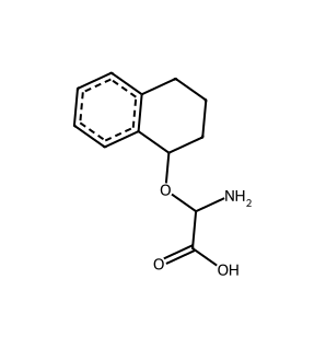 NC(OC1CCCc2ccccc21)C(=O)O